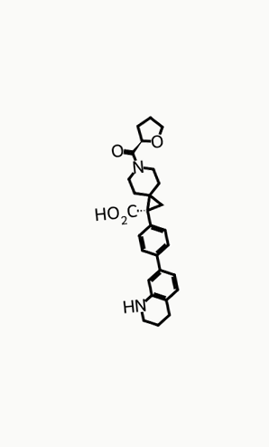 O=C([C@H]1CCCO1)N1CCC2(CC1)C[C@@]2(C(=O)O)c1ccc(-c2ccc3c(c2)NCCC3)cc1